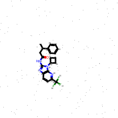 CC(CC(=O)Nc1nc2ccc(C(F)(F)F)nc2n1C1CCC1)c1ccccc1